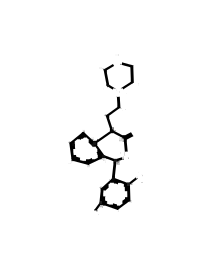 Nc1ccc(Cl)cc1C1NC(=S)C(CCN2CCSCC2)c2ccccc21